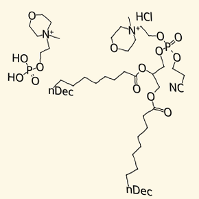 CCCCCCCCCCCCCCCCCC(=O)OCC(COP(=O)(OCCC#N)OCC[N+]1(C)CCOCC1)OC(=O)CCCCCCCCCCCCCCCCC.C[N+]1(CCOP(=O)(O)O)CCOCC1.Cl